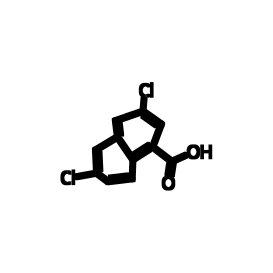 O=C(O)c1cc(Cl)cc2cc(Cl)ccc12